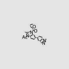 CC(=O)N1c2ccc(-c3ccc4c(cnn4C)c3)cc2N(C(=O)c2ccco2)C[C@@H]1C